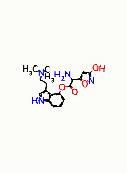 CN(C)CCc1c[nH]c2cccc(OC(=O)C(N)c3cc(O)no3)c12